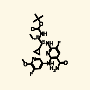 CC[C@H](NC(=O)OC(C)(C)C)[C@H](Nc1nc(Nc2cnc(OC)c(F)c2)c(C(N)=O)cc1F)C1CC1